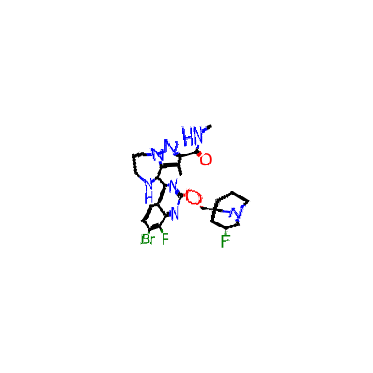 CNC(=O)c1nn2c(c1C)C(c1nc(OC[C@@]34CCCN3C[C@H](F)C4)nc3c(F)c(Br)ccc13)NCCC2